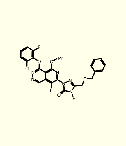 CCn1c(COCc2ccccc2)nn(-c2nc(OC(C)C)c3c(Oc4c(F)cccc4Cl)nncc3c2F)c1=O